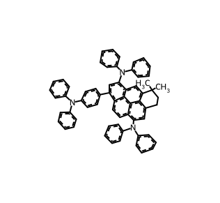 CC1(C)CCc2cc(N(c3ccccc3)c3ccccc3)c3ccc4c(-c5ccc(N(c6ccccc6)c6ccccc6)cc5)cc(N(c5ccccc5)c5ccccc5)c5cc1c2c3c45